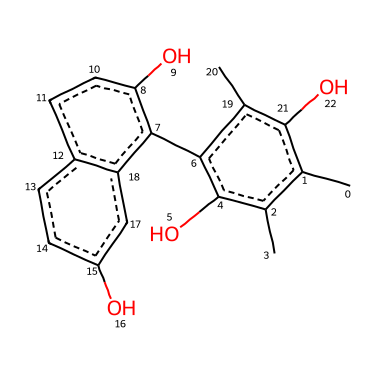 Cc1c(C)c(O)c(-c2c(O)ccc3ccc(O)cc23)c(C)c1O